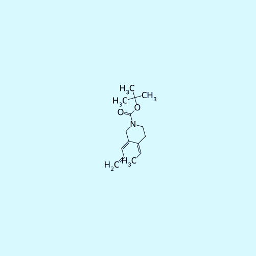 C=C/C=C1/CN(C(=O)OC(C)(C)C)CC/C1=C/C